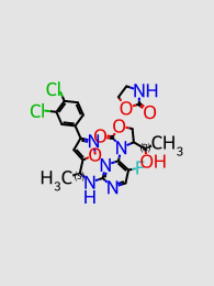 C[C@H](Nc1ncc(F)c(N2C(=O)OCC2[C@@H](C)O)n1)c1cc(-c2ccc(Cl)c(Cl)c2)no1.O=C1NCCO1